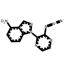 [N-]=[N+]=Nc1nccnc1-n1ncc2c([N+](=O)[O-])cccc21